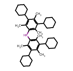 Cc1c(Pc2c(C)c(C3CCCCC3)c(C)c(C3CCCCC3)c2C)c(C)c(C2CCCCC2)c(C)c1C1CCCCC1